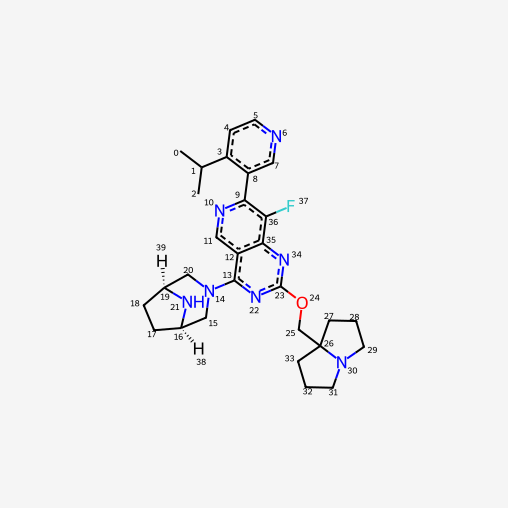 CC(C)c1ccncc1-c1ncc2c(N3C[C@H]4CC[C@@H](C3)N4)nc(OCC34CCCN3CCC4)nc2c1F